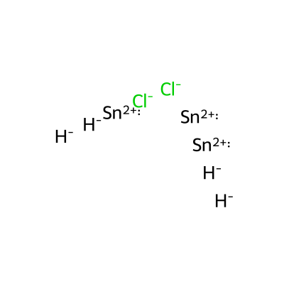 [Cl-].[Cl-].[H-].[H-].[H-].[H-].[Sn+2].[Sn+2].[Sn+2]